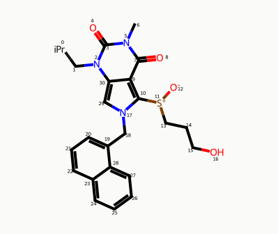 CC(C)Cn1c(=O)n(C)c(=O)c2c([S+]([O-])CCCO)n(Cc3cccc4ccccc34)cc21